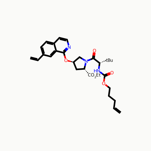 C=CCCCOC(=O)N[C@H](C(=O)N1C[C@H](Oc2nccc3ccc(C=C)cc23)C[C@H]1C(=O)OCC)C(C)(C)C